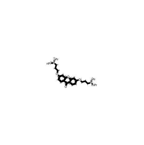 CCCN(CCC)CCCOc1ccc2c(=O)c3ccc(OCCCN(CCC)CCC)cc3oc2c1